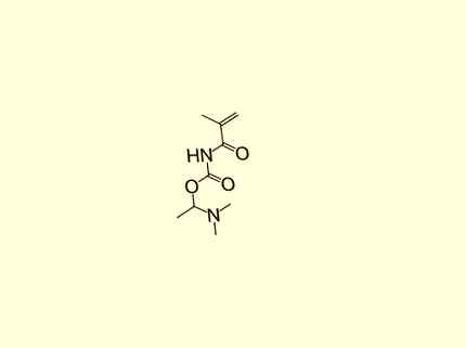 C=C(C)C(=O)NC(=O)OC(C)N(C)C